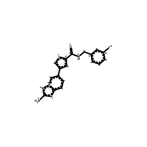 Nc1nc2ccc(-c3csc(C(=O)NCc4cccc(F)c4)c3)cn2n1